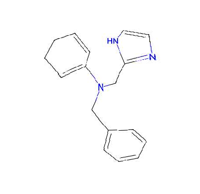 C1=CC(N(Cc2ccccc2)Cc2ncc[nH]2)=CCC1